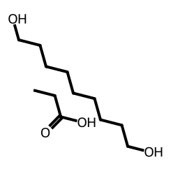 CCC(=O)O.OCCCCCCCCCO